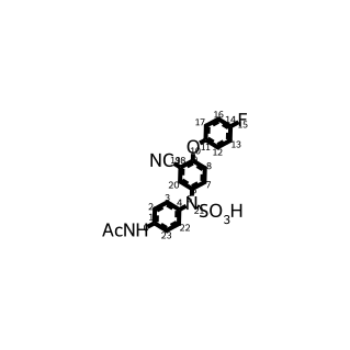 CC(=O)Nc1ccc(N(c2ccc(Oc3ccc(F)cc3)c(C#N)c2)S(=O)(=O)O)cc1